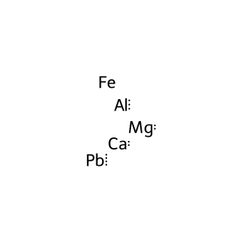 [Al].[Ca].[Fe].[Mg].[Pb]